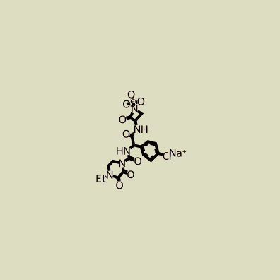 CCN1CCN(C(=O)NC(C(=O)NC2CN(S(=O)(=O)[O-])C2=O)c2ccc(Cl)cc2)C(=O)C1=O.[Na+]